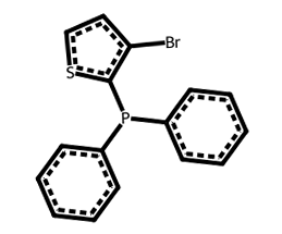 Brc1ccsc1P(c1ccccc1)c1ccccc1